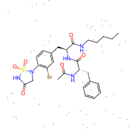 CCCCCNC(=O)[C@H](Cc1ccc(N2CC(=O)NS2(=O)=O)c(Br)c1)NC(=O)[C@H](Cc1ccccc1)NC(C)=O